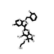 CC1(OCCO)C(=O)Nc2nc(-c3nn(Cc4ccccc4F)c4ncc(F)cc34)nc(N)c21